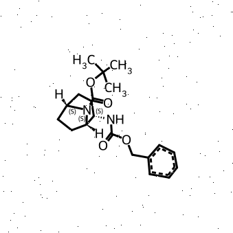 CC(C)(C)OC(=O)N1[C@H]2CC[C@H](NC(=O)OCc3ccccc3)[C@@H]1CC2